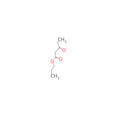 CCCOC(=O)CC(=O)CC